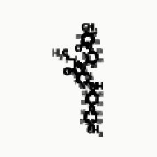 C=CCn1c(=O)c2cnc(Nc3ccc(N4CCN(C)CC4)cc3)nc2n1-c1cccc(-n2ccc(C)cc2=O)n1